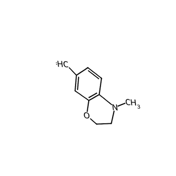 [CH]c1ccc2c(c1)OCCN2C